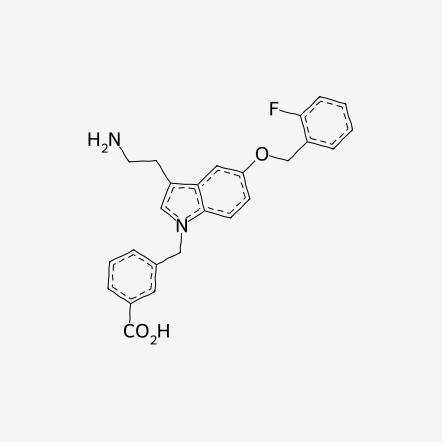 NCCc1cn(Cc2cccc(C(=O)O)c2)c2ccc(OCc3ccccc3F)cc12